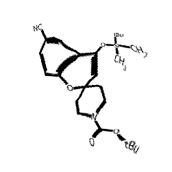 CC(C)(C)OC(=O)N1CCC2(C=C(O[Si](C)(C)C(C)(C)C)c3cc(C#N)ccc3O2)CC1